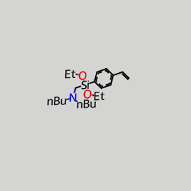 C=Cc1ccc([Si](CN(CCCC)CCCC)(OCC)OCC)cc1